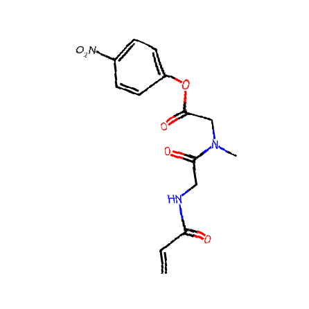 C=CC(=O)NCC(=O)N(C)CC(=O)Oc1ccc([N+](=O)[O-])cc1